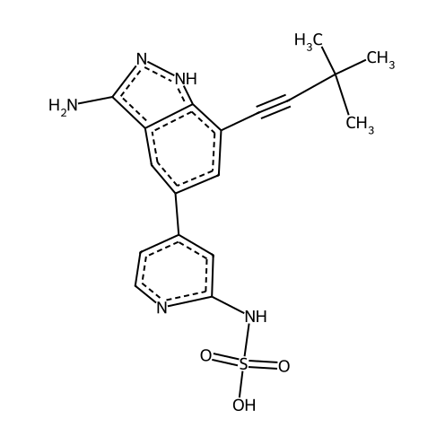 CC(C)(C)C#Cc1cc(-c2ccnc(NS(=O)(=O)O)c2)cc2c(N)n[nH]c12